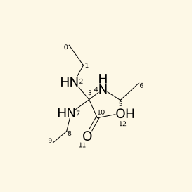 CCNC(NCC)(NCC)C(=O)O